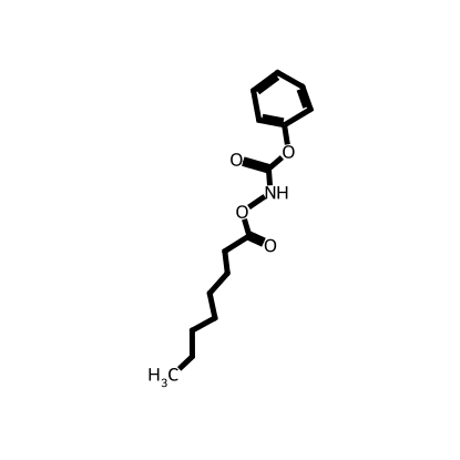 CCCCCCCC(=O)ONC(=O)Oc1ccccc1